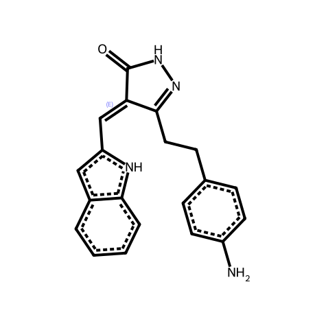 Nc1ccc(CCC2=NNC(=O)/C2=C/c2cc3ccccc3[nH]2)cc1